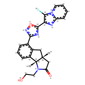 O=C1C[C@H]2Cc3c(-c4noc(-c5nc6ccccn6c5F)n4)cccc3[C@H]2N1CCO